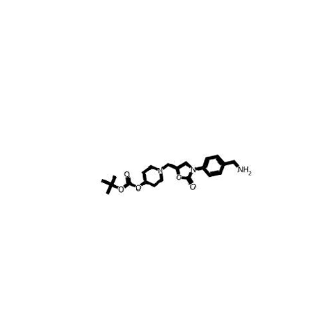 CC(C)(C)OC(=O)OC1CCN(CC2CN(c3ccc(CN)cc3)C(=O)O2)CC1